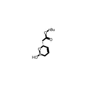 CCCCOC(=O)C[C@@H]1C=CCB(O)O1